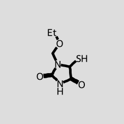 CCOCN1C(=O)NC(=O)C1S